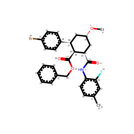 CCO[C@@H]1C[C@H](C(=O)Nc2ccc(C(F)(F)F)cc2F)[C@@H](C(=O)OCc2ccccc2)[C@H](c2ccc(Br)cc2)C1